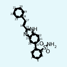 NS(=O)(=O)c1ccccc1-c1ccc2[nH]c(C=Cc3ccccc3)nc2c1